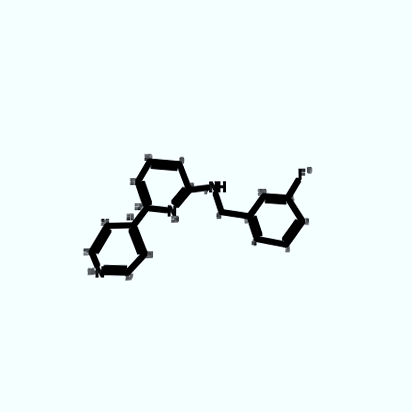 Fc1cccc(CNc2cccc(-c3ccncc3)n2)c1